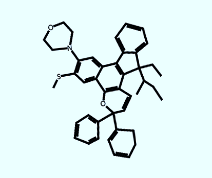 CCC(C)C1(CC)c2ccccc2-c2c1c1c(c3cc(SC)c(N4CCOCC4)cc23)OC(C2=CC=CCC2)(c2ccccc2)C=C1